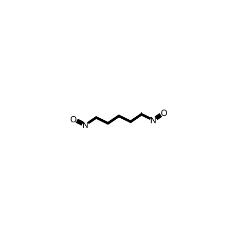 O=N[CH]CCCCN=O